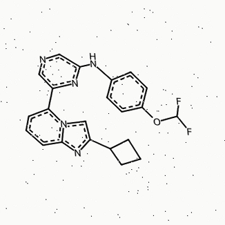 FC(F)Oc1ccc(Nc2cncc(-c3cccc4nc(C5CCC5)cn34)n2)cc1